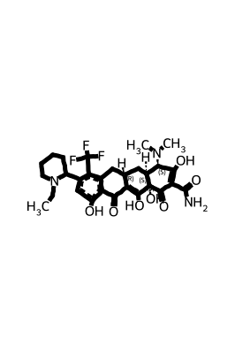 CCN1CCCCC1c1cc(O)c2c(c1C(F)(F)F)C[C@H]1C[C@H]3[C@H](N(C)C)C(O)=C(C(N)=O)C(=O)[C@@]3(O)C(O)=C1C2=O